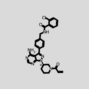 C=CC(=O)N1CCC[C@@H](n2nc(-c3ccc(CNC(=O)c4ccccc4Cl)cc3)c3c(N)ncnc32)C1